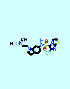 CN(C)CCn1ccc2ccc(NS(=O)(=O)c3c(Cl)nc4sccn34)cc21